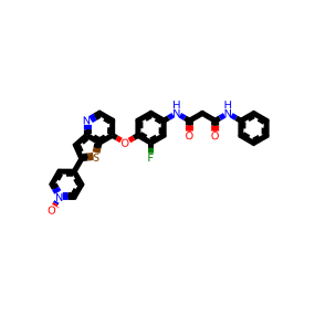 O=C(CC(=O)Nc1ccc(Oc2ccnc3cc(-c4cc[n+]([O-])cc4)sc23)c(F)c1)Nc1ccccc1